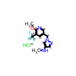 CNc1cnn(Cc2cnc(OC)c(C(F)(F)F)c2)c1.Cl